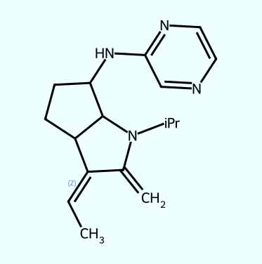 C=C1/C(=C\C)C2CCC(Nc3cnccn3)C2N1C(C)C